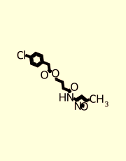 Cc1cc(NC(=O)CCCOC(=O)Cc2ccc(Cl)cc2)no1